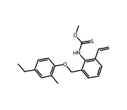 C=Cc1cccc(COc2ccc(CC)cc2C)c1NC(=S)OC